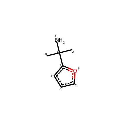 C[C](C)([BiH2])c1ccco1